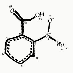 N[S+]([O-])c1ccccc1C(=O)O